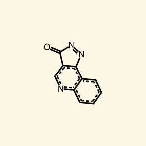 O=C1N=Nc2c1cnc1ccccc21